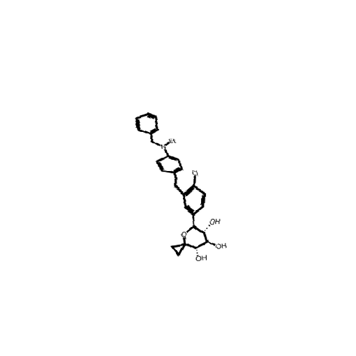 CCN(Cc1ccccc1)c1ccc(Cc2cc([C@@H]3OC4(CC4)[C@@H](O)[C@H](O)[C@H]3O)ccc2Cl)cc1